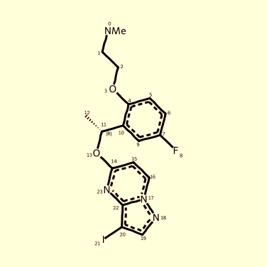 CNCCOc1ccc(F)cc1[C@@H](C)Oc1ccn2ncc(I)c2n1